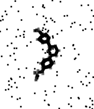 CCCCc1ccc(C2=NN(c3ccc(O[PH2]=O)cc3)CCC2)cc1